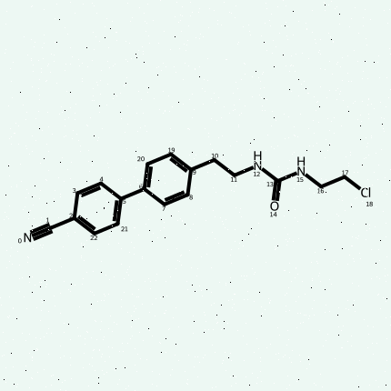 N#Cc1ccc(-c2ccc(CCNC(=O)NCCCl)cc2)cc1